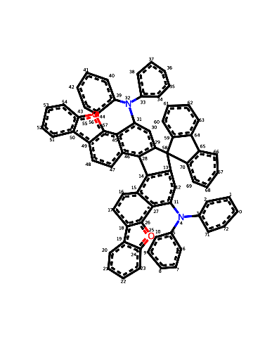 c1ccc(N(c2ccccc2)c2cc3c(c4ccc5c6ccccc6oc5c24)-c2c(cc(N(c4ccccc4)c4ccccc4)c4c2ccc2c5ccccc5oc24)C32c3ccccc3-c3ccccc32)cc1